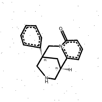 O=c1cccc2n1C[C@]1(c3ccccc3)CNC[C@H]2C1